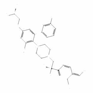 C=C(/C=C\C(=C/N)CO)[C@](C)(O)CN1CCN(c2ccc(OC[C@H](C)O)cc2Cl)[C@H](c2ccc(Cl)cc2)C1